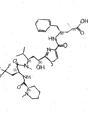 CC(C)[C@@H](C[C@@H](O)c1nc(C(=O)N[C@@H](Cc2ccccc2)C[C@H](C)C(=O)O)cs1)N(C)C(=O)[C@H](CC(F)(F)F)NC(=O)[C@H]1CCCCN1C